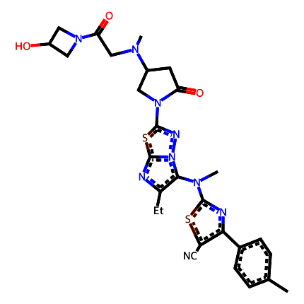 CCc1nc2sc(N3CC(N(C)CC(=O)N4CC(O)C4)CC3=O)nn2c1N(C)c1nc(-c2ccc(C)cc2)c(C#N)s1